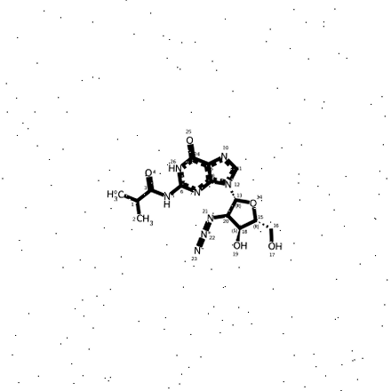 CC(C)C(=O)Nc1nc2c(ncn2[C@@H]2O[C@H](CO)[C@@H](O)C2N=[N+]=[N-])c(=O)[nH]1